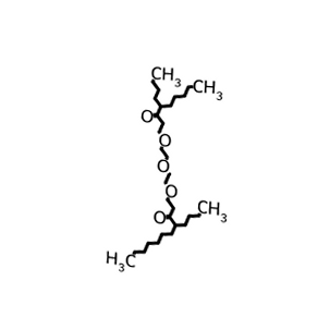 CCCCCCCC(CCCC)C(=O)CCOCCOCCOCCC(=O)C(CCCC)CCCCC